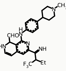 CCC(C(=N)c1cc2c(c(Nc3ccc(C4CCN(C)CC4)cc3)n1)C(C=O)NC=C2)C(F)(F)F